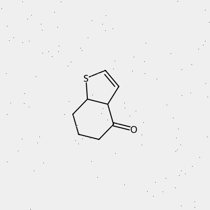 O=C1CCCC2SC=CC12